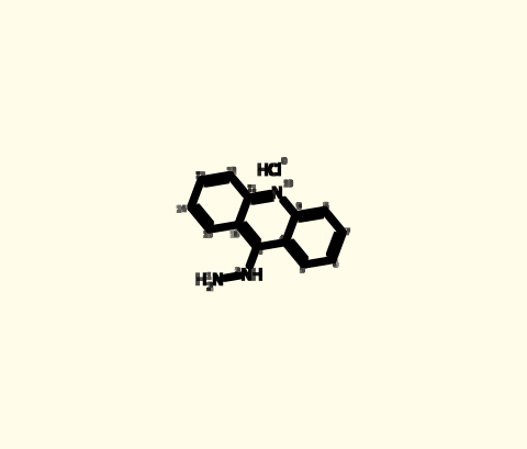 Cl.NNc1c2ccccc2nc2ccccc12